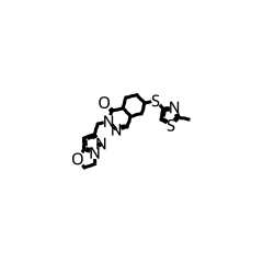 Cc1nc(SC2CCC3C(=O)N(Cc4cc5n(n4)CCO5)N=CC3C2)cs1